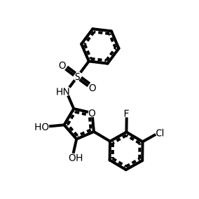 O=S(=O)(Nc1oc(-c2cccc(Cl)c2F)c(O)c1O)c1ccccc1